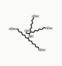 CCCCCCCCCCCCCCCCC(CCCCCCCCCCCCCCCC)NC(CO)C(CCCCCCCCCCCCCCCC)CCCCCCCCCCCCCCCC